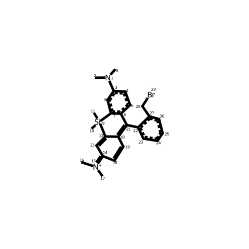 CN(C)c1ccc2c(c1)[Si](C)(C)C1=CC(=[N+](C)C)C=CC1=C2c1ccccc1CBr